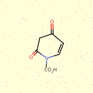 O=C1C=CN(C(=O)O)C(=O)C1